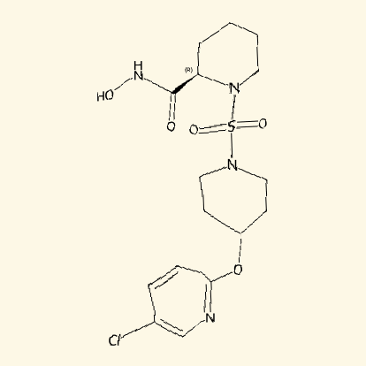 O=C(NO)[C@H]1CCCCN1S(=O)(=O)N1CCC(Oc2ccc(Cl)cn2)CC1